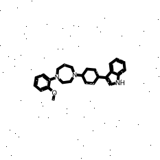 COc1ccccc1N1CCCN(C2CCC(c3c[nH]c4ccccc34)CC2)CC1